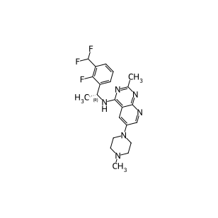 Cc1nc(N[C@H](C)c2cccc(C(F)F)c2F)c2cc(N3CCN(C)CC3)cnc2n1